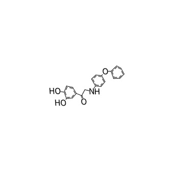 O=C(CNc1ccc(Oc2ccccc2)cc1)c1ccc(O)c(O)c1